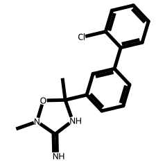 CN1OC(C)(c2cccc(-c3ccccc3Cl)c2)NC1=N